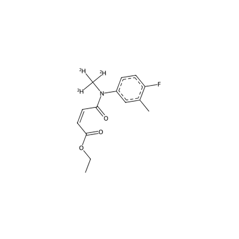 [2H]C([2H])([2H])N(C(=O)/C=C\C(=O)OCC)c1ccc(F)c(C)c1